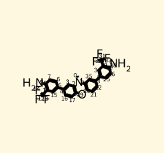 CN1c2cc(-c3ccc(N)c(C(F)(F)F)c3)ccc2Oc2ccc(-c3ccc(N)c(C(F)(F)F)c3)cc21